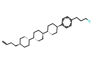 C=CCC[C@H]1CC[C@H]([C@H]2CC[C@H]([C@H]3CC[C@H](c4ccc(CCCF)cc4)CC3)CC2)CC1